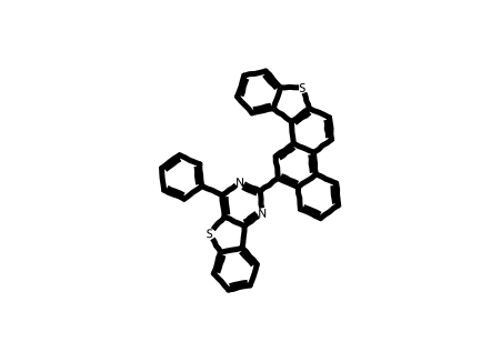 c1ccc(-c2nc(-c3cc4c(ccc5sc6ccccc6c54)c4ccccc34)nc3c2sc2ccccc23)cc1